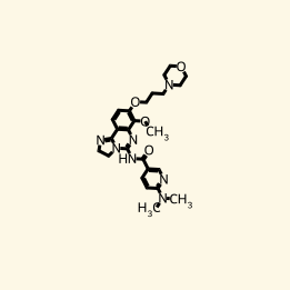 COc1c(OCCCN2CCOCC2)ccc2c1N=C(NC(=O)c1ccc(N(C)C)nc1)N1CCN=C21